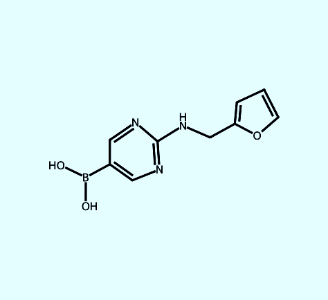 OB(O)c1cnc(NCc2ccco2)nc1